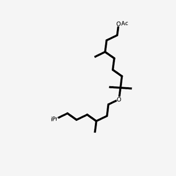 CC(=O)OCCC(C)CCCC(C)(C)OCCC(C)CCCC(C)C